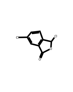 O=C1OC(Cl)c2ccc(Cl)cc21